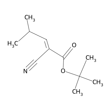 CC(C)/C=C(\C#N)C(=O)OC(C)(C)C